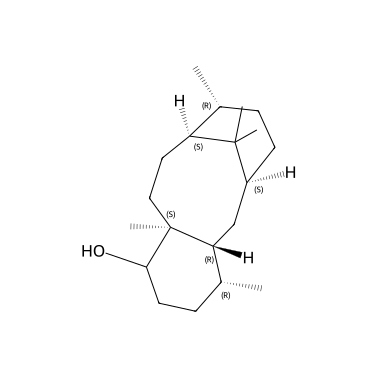 C[C@@H]1CCC(O)[C@@]2(C)CC[C@H]3[C@H](C)CC[C@@H](C[C@H]12)C3(C)C